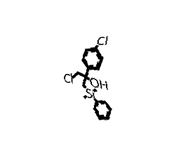 C[Si](C)(CC(O)(CCl)c1ccc(Cl)cc1)c1ccccc1